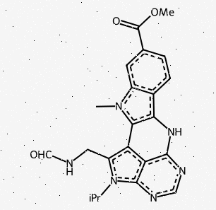 COC(=O)c1ccc2c3c(n(C)c2c1)-c1c(CNC=O)n(C(C)C)c2ncnc(c12)N3